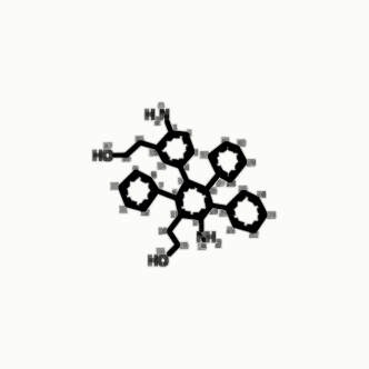 Nc1ccc(-c2c(-c3ccccc3)c(CCO)c(N)c(-c3ccccc3)c2-c2ccccc2)cc1CCO